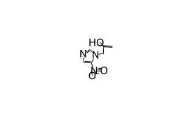 C=C(O)Cn1cncc1[N+](=O)[O-]